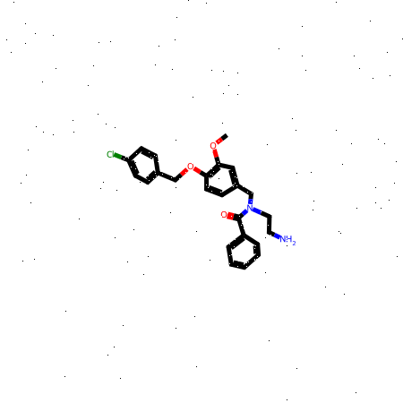 COc1cc(CN(CCN)C(=O)c2ccccc2)ccc1OCc1ccc(Cl)cc1